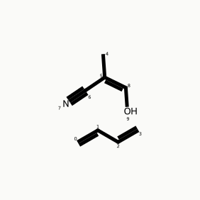 C=CC=C.CC(C#N)=CO